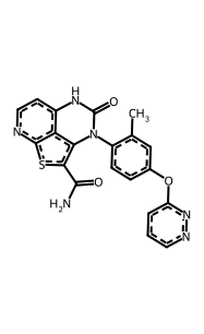 Cc1cc(Oc2cccnn2)ccc1N1C(=O)Nc2ccnc3sc(C(N)=O)c1c23